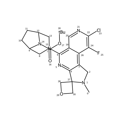 CN1Cc2c(nc(N3CC4CCC(C3)N4C(=O)OC(C)(C)C)c3cnc(Cl)c(F)c23)C12COC2